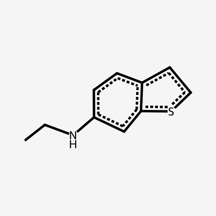 CCNc1ccc2ccsc2c1